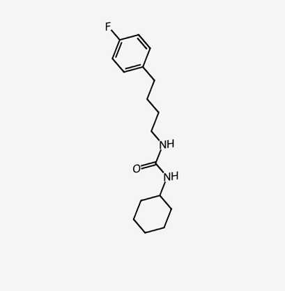 O=C(NCCCCc1ccc(F)cc1)NC1CCCCC1